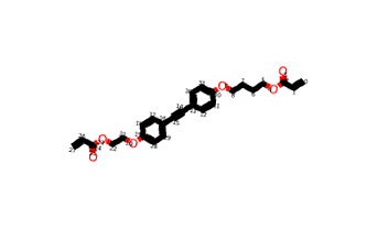 C=CC(=O)OCCCCOc1ccc(C#Cc2ccc(OCCOC(=O)C=C)cc2)cc1